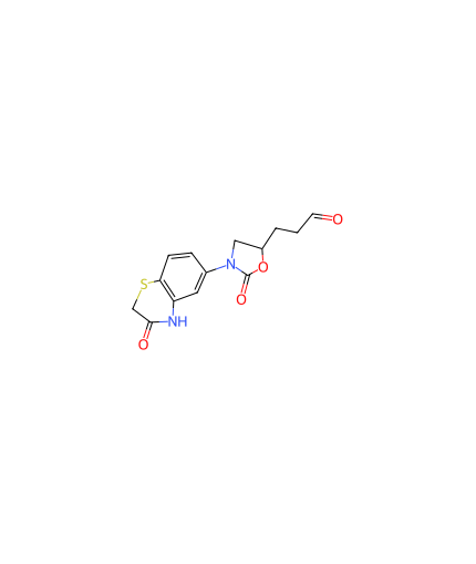 O=CCCC1CN(c2ccc3c(c2)NC(=O)CS3)C(=O)O1